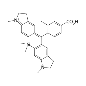 Cc1cc(C(=O)O)ccc1C1=c2cc3c(cc2[Si](C)(C)c2cc4c(cc21)CCN4C)=[N+](C)CC3